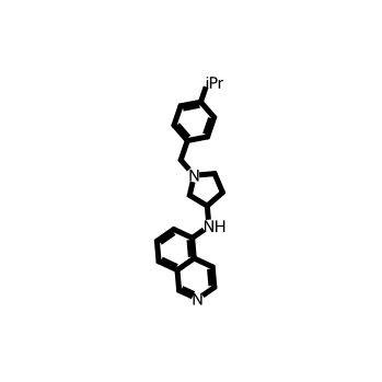 CC(C)c1ccc(CN2CCC(Nc3cccc4cnccc34)C2)cc1